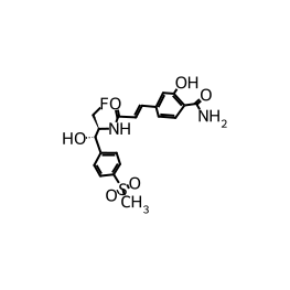 CS(=O)(=O)c1ccc([C@H](O)[C@@H](CF)NC(=O)C=Cc2ccc(C(N)=O)c(O)c2)cc1